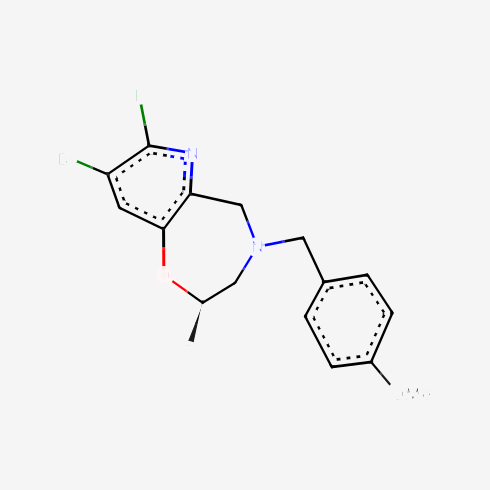 CC[C@@H]1CN(Cc2ccc(OC)cc2)Cc2nc(F)c(Br)cc2O1